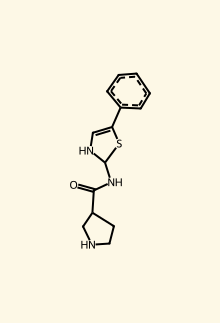 O=C(NC1NC=C(c2ccccc2)S1)C1CCNC1